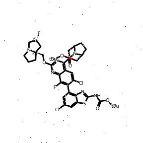 CC(C)(C)OC(=O)Nc1nc2c(-c3c(Cl)cc4c(N5CC6CCC(C5)N6C(=O)OC(C)(C)C)nc(OC[C@@]56CCCN5C[C@H](F)C6)nc4c3F)cc(Cl)cc2s1